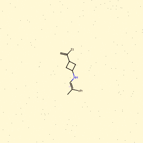 C=C(CC)C1CC(N/C=C(/C)CCC)C1